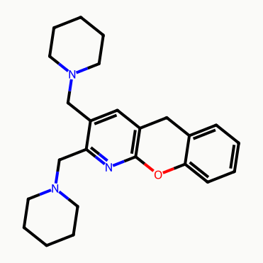 c1ccc2c(c1)Cc1cc(CN3CCCCC3)c(CN3CCCCC3)nc1O2